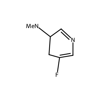 CNC1C=NC=C(F)C1